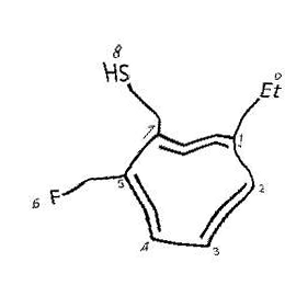 CCc1cccc(F)c1S